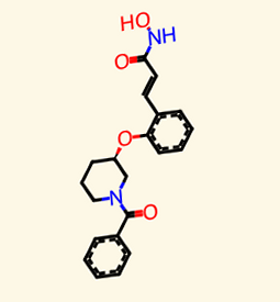 O=C(/C=C/c1ccccc1O[C@@H]1CCCN(C(=O)c2ccccc2)C1)NO